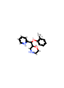 FC(F)(F)c1ccccc1OC(c1ccccn1)C1CNCCO1